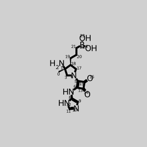 C[C@]1(N)CN(c2c(Nc3cnc[nH]3)c(=O)c2=O)C[C@@H]1CCCB(O)O